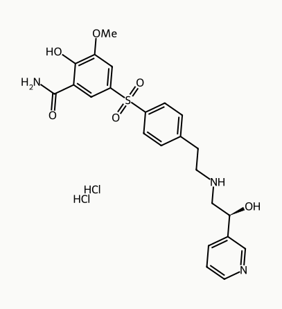 COc1cc(S(=O)(=O)c2ccc(CCNC[C@@H](O)c3cccnc3)cc2)cc(C(N)=O)c1O.Cl.Cl